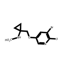 O=C(O)NC1(COc2cnc(Cl)c(Br)c2)CC1